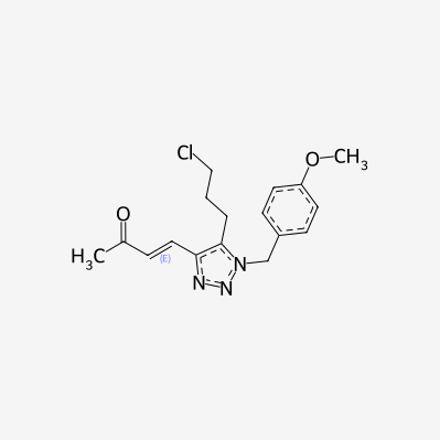 COc1ccc(Cn2nnc(/C=C/C(C)=O)c2CCCCl)cc1